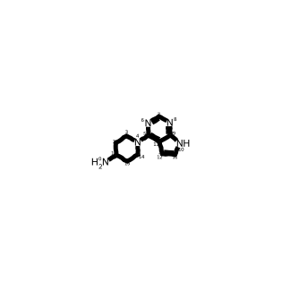 NC1CCN(c2ncnc3[nH]c[c]c23)CC1